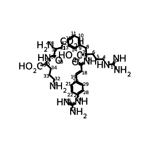 N=C(N)NCCC[C@](Cc1ccccc1)(NC(=O)C=Cc1ccc(NC(=N)N)cc1)C(=O)O.NCCC[C@H](NC(=O)[C@@H](N)CC(=O)O)C(=O)O